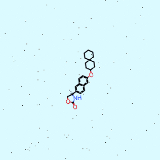 C[C@@]1(c2ccc3cc(OC4CCC5(CCCCC5)CC4)ccc3c2)COC(=O)N1